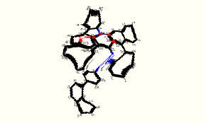 c1ccc(N(c2ccc(-c3cccc4ccccc34)cc2)c2cccc3oc4ccccc4c23)c(-c2cc(-n3c4ccccc4c4ccccc43)cc3ccccc23)c1